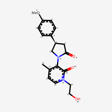 COc1ccc([C@H]2CC(=O)N(c3c(C)ccn(CCO)c3=O)C2)cc1